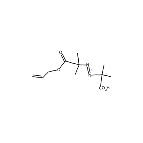 C=CCOC(=O)C(C)(C)/N=N/C(C)(C)C(=O)O